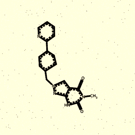 Cn1c(=O)[nH]c2nn(Cc3ccc(-c4ccccn4)cc3)cc2c1=O